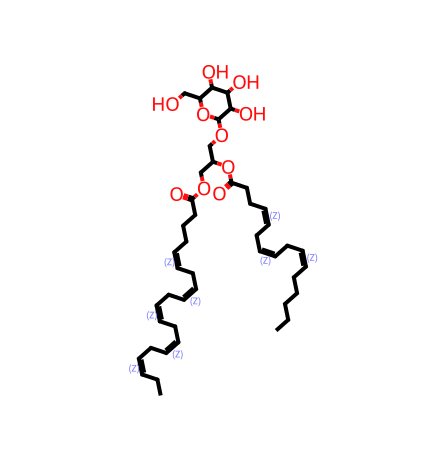 CC/C=C\C/C=C\C/C=C\C/C=C\C/C=C\CCCC(=O)OCC(COC1OC(CO)C(O)C(O)C1O)OC(=O)CC/C=C\C/C=C\C/C=C\CCCCC